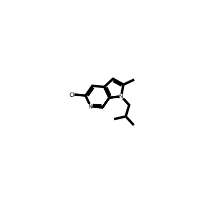 Cc1cc2cc(Cl)ncc2n1CC(C)C